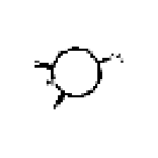 CC1CCCC(=O)NC(=O)CCC1